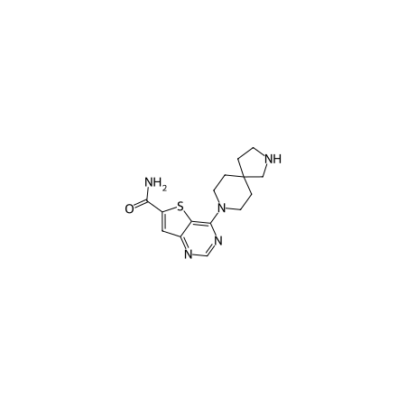 NC(=O)c1cc2ncnc(N3CCC4(CCNC4)CC3)c2s1